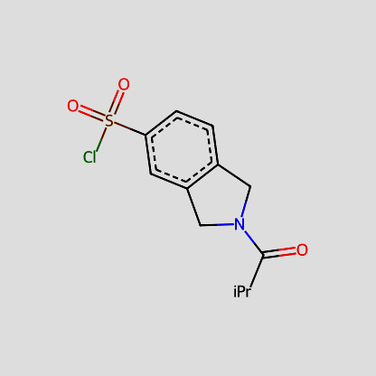 CC(C)C(=O)N1Cc2ccc(S(=O)(=O)Cl)cc2C1